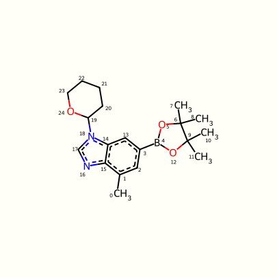 Cc1cc(B2OC(C)(C)C(C)(C)O2)cc2c1ncn2C1CCCCO1